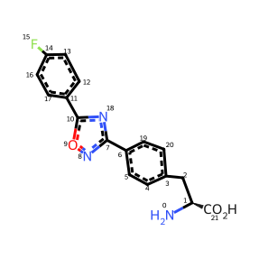 N[C@@H](Cc1ccc(-c2noc(-c3ccc(F)cc3)n2)cc1)C(=O)O